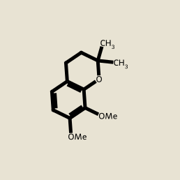 COc1ccc2c(c1OC)OC(C)(C)CC2